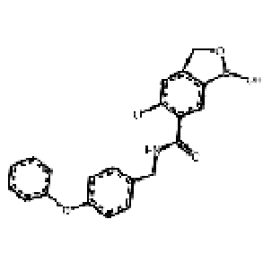 O=C(NCc1ccc(Oc2ccccc2)cc1)c1cc2c(cc1Cl)COB2O